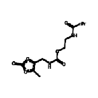 CCCC(=O)NCCOC(=O)NCc1oc(=O)oc1C